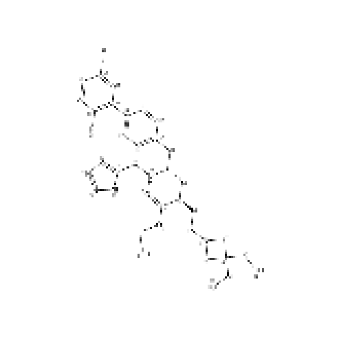 CCOC(=O)[C@H](CCN1CC(CO)(CO)C1)C[C@@H](Cc1ccc(-c2cc(Cl)ccc2F)cc1)NCc1cnn[nH]1